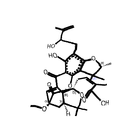 C=C(C)C(O)Cc1c(O)c2c(c3c1O[C@H](C)C3(C)C)O[C@@]13C(=C[C@@]4(OC)C[C@@H]1C(C)(C)O[C@]3(C/C=C(/C)C(=O)O)C4=O)C2=O